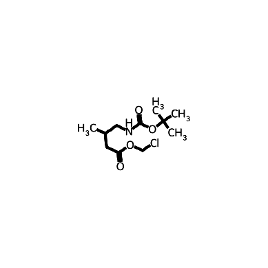 CC(CNC(=O)OC(C)(C)C)CC(=O)OCCl